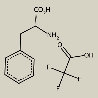 N[C@H](Cc1ccccc1)C(=O)O.O=C(O)C(F)(F)F